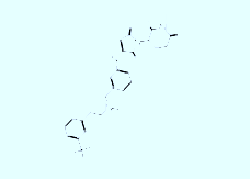 CN(CCc1cccc(C(F)(F)F)c1)Cc1cccc(NC2=CC(=O)N(C3CCC(=O)NC3=O)C2=O)c1